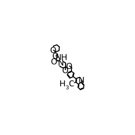 Cc1c(-c2ccc3c(c2)COC2(CCN(C(=O)NOC4CCCCO4)CC2)O3)cnc2ccccc12